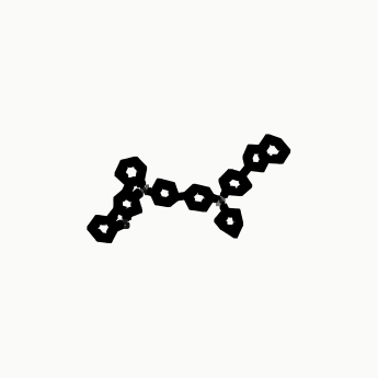 c1ccc(N(c2ccc(-c3ccc(-n4c5ccccc5c5cc6c(cc54)sc4ccccc46)cc3)cc2)c2ccc(-c3ccc4ccccc4c3)cc2)cc1